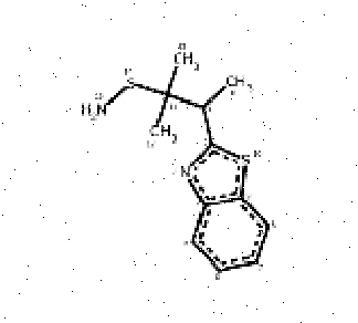 CC(c1nc2ccccc2s1)C(C)(C)SN